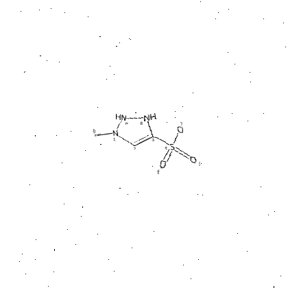 CN1C=C(S(=O)(=O)Cl)NN1